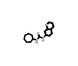 O=C(Nc1ccc2cccnc2c1)NC1CCCCCC1